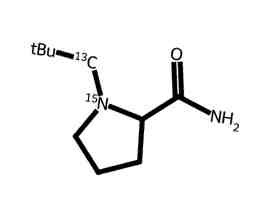 CC(C)(C)[13CH2][15N]1CCCC1C(N)=O